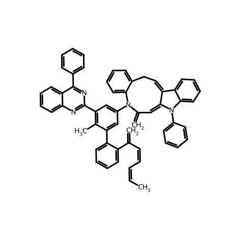 C=C(/C=C\C=C/C)c1ccccc1-c1cc(N2C(=C)/C=c3\c(c4ccccc4n3-c3ccccc3)=C/Cc3ccccc32)cc(-c2nc(-c3ccccc3)c3ccccc3n2)c1C